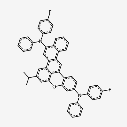 CC(C)c1cc2c3c(cc4c5ccccc5c(N(c5ccccc5)c5ccc(F)cc5)cc4c3c1)-c1ccc(N(c3ccccc3)c3ccc(F)cc3)cc1O2